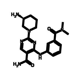 CN(C)C(=O)c1cccc(Nc2nc(N3CCC[C@H](N)C3)ncc2C(N)=O)c1